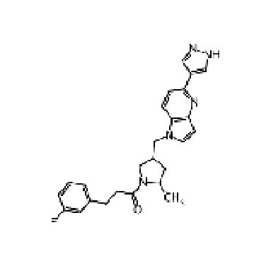 CC1CC(Cn2ccc3nc(-c4cn[nH]c4)ccc32)CN1C(=O)CCc1cccc(F)c1